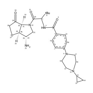 CC(C)(C)C(NC(=O)c1ccc(N2CCN(C3CC3)CC2)cc1)C(=O)N1C[C@H](N)[C@H]2OCC(=O)[C@H]21